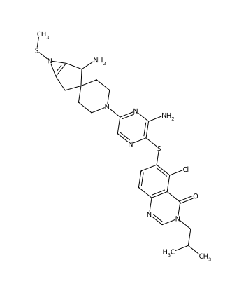 CSN1C2=C1C(N)C1(CCN(c3cnc(Sc4ccc5ncn(CC(C)C)c(=O)c5c4Cl)c(N)n3)CC1)C2